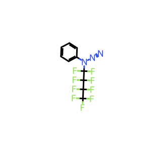 N#[N+]N(c1ccccc1)C(F)(F)C(F)(F)C(F)(F)C(F)(F)F